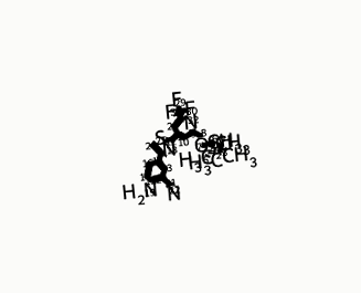 CC(C)(C)[Si](C)(C)OCc1cc(-c2nc(-c3ccc(N)c(C#N)c3)cs2)cc(C(F)(F)F)n1